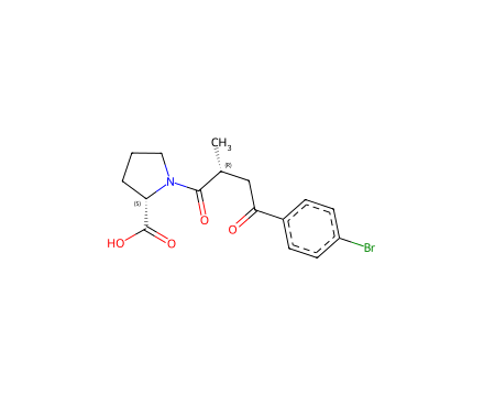 C[C@H](CC(=O)c1ccc(Br)cc1)C(=O)N1CCC[C@H]1C(=O)O